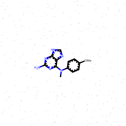 COc1ccc(N(C)c2nc(N)nc3[nH]cnc23)cc1